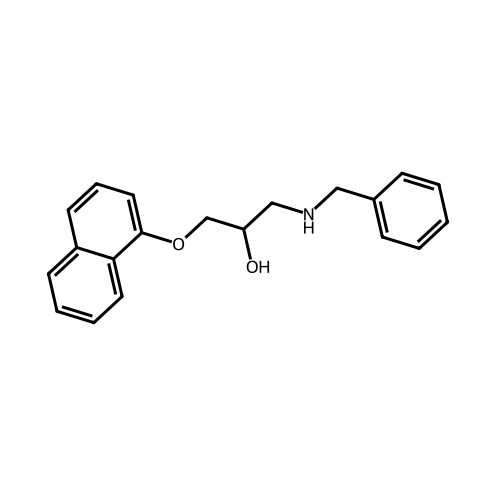 OC(CNCc1ccccc1)COc1cccc2ccccc12